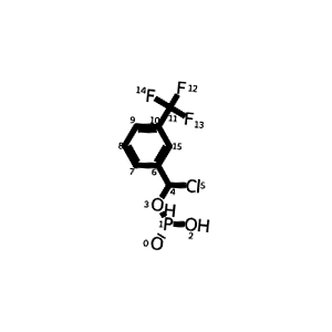 O=[PH](O)OC(Cl)c1cccc(C(F)(F)F)c1